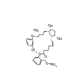 O=C(CCC/C=C\C[C@@H]1[C@@H](CC[C@@H](O)COc2cccc(C(F)(F)F)c2)[C@H](O)C[C@@H]1O)Oc1ccccc1CO[N+](=O)[O-]